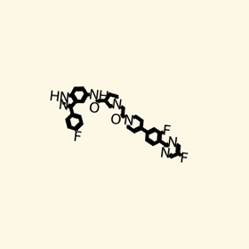 O=C(Nc1ccc2[nH]nc(-c3ccc(F)cc3)c2c1)C1CCN(CC(=O)N2CC=C(c3ccc(-c4ncc(F)cn4)c(F)c3)CC2)C1